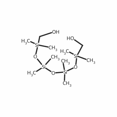 C[Si](C)(CO)O[Si](C)(C)O[Si](C)(C)O[Si](C)(C)CO